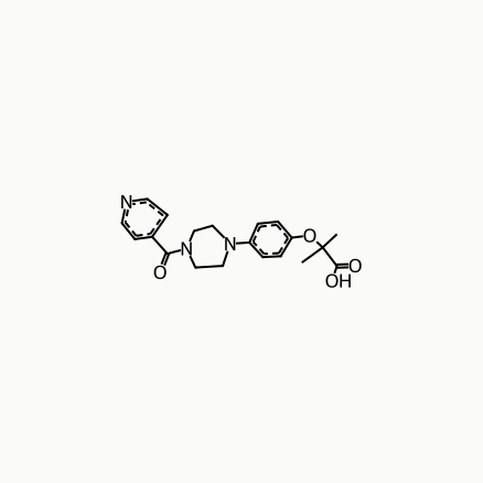 CC(C)(Oc1ccc(N2CCN(C(=O)c3ccncc3)CC2)cc1)C(=O)O